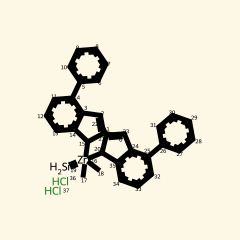 CC1=Cc2c(-c3ccccc3)cccc2[CH]1[Zr]([CH3])([CH3])(=[SiH2])[CH]1C(C)=Cc2c(-c3ccccc3)cccc21.Cl.Cl